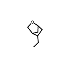 CCC1CC2CC1CO2